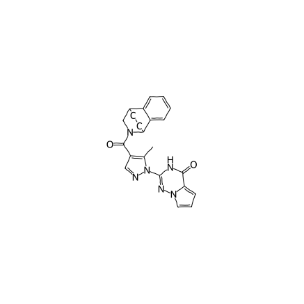 Cc1c(C(=O)N2CC3CCC2c2ccccc23)cnn1-c1nn2cccc2c(=O)[nH]1